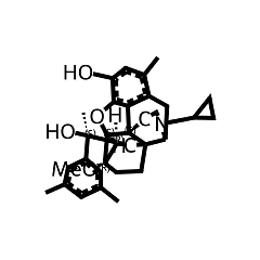 CO[C@]12CCC3(C[C@@H]1[C@](C)(O)c1cc(C)cc(C)c1)C1Cc4c(C)cc(O)c5c4[C@@]3(CCN1C1CC1)[C@@H]2O5